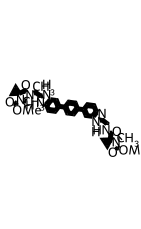 COC(=O)N(C)C1(C(=O)NCc2nc3ccc(-c4ccc(-c5ccc6nc([C@H](C)NC(=O)C7(N(C)C(=O)OC)CC7)[nH]c6c5)cc4)cc3[nH]2)CC1